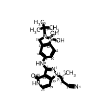 C[C@H](CC#N)n1nc(Nc2ccc3c(c2)CN(C(C)(C)C)S3(O)O)c2c(=O)[nH]ccc21